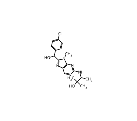 CC(Nc1ncc2nc(C(O)c3ccc(Cl)cc3)n(C)c2n1)C(C)(C)O